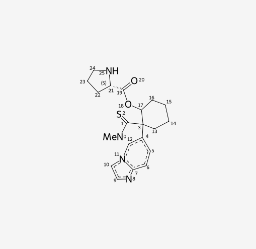 CNC(=S)C1(c2ccc3nccn3c2)CCCCC1OC(=O)[C@@H]1CCCN1